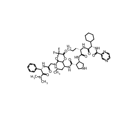 CCC[C@H](NC(=O)[C@@H](NC(=O)c1cnccn1)C1CCCCC1)C(=O)N[C@H]1CNC[C@@H]1C(=O)N[C@@H](CCC)C(OC(=O)C(F)(F)F)C(=O)NCC(=O)N[C@H](C(=O)N(C)C)c1ccccc1